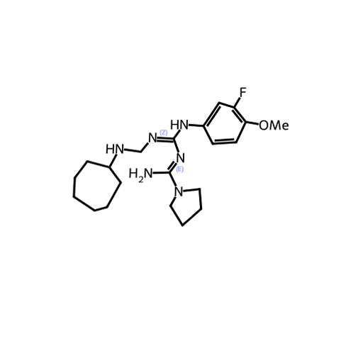 COc1ccc(NC(=N/CNC2CCCCCC2)/N=C(\N)N2CCCC2)cc1F